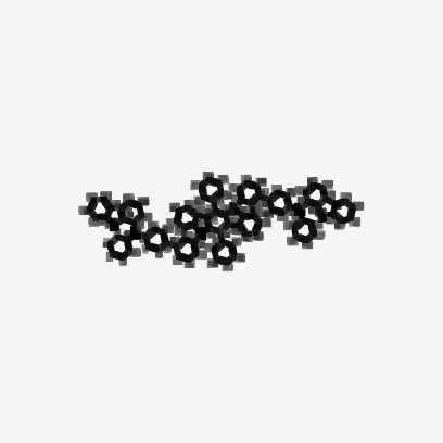 C1=CCCC(N(c2ccc(-c3cccc4c3c3cccc5c6c(-c7ccccc7)c7c(c(-c8ccccc8)c6n4c35)c3cccc4c5c(-c6ccc(N(c8ccccc8)c8cccc9c8sc8ccccc89)cc6)cccc5n7c43)cc2)C2CC=Cc3c2sc2ccccc32)=C1